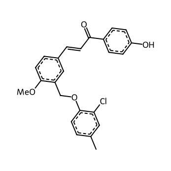 COc1ccc(/C=C/C(=O)c2ccc(O)cc2)cc1COc1ccc(C)cc1Cl